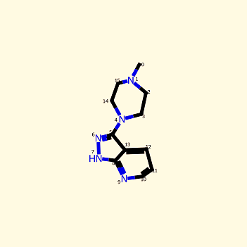 CN1CCN(c2n[nH]c3nc[c]cc23)CC1